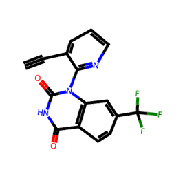 C#Cc1cccnc1-n1c(=O)[nH]c(=O)c2ccc(C(F)(F)F)cc21